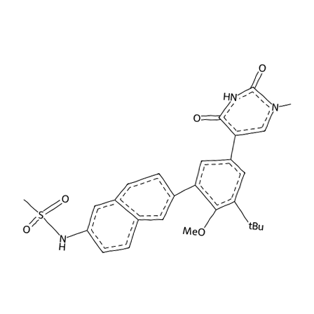 COc1c(-c2ccc3cc(NS(C)(=O)=O)ccc3c2)cc(-c2cn(C)c(=O)[nH]c2=O)cc1C(C)(C)C